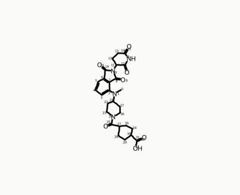 CN(c1cccc2c1C(=O)N(C1CCC(=O)NC1=O)C2=O)C1CCN(C(=O)C2CCC(C(=O)O)CC2)CC1